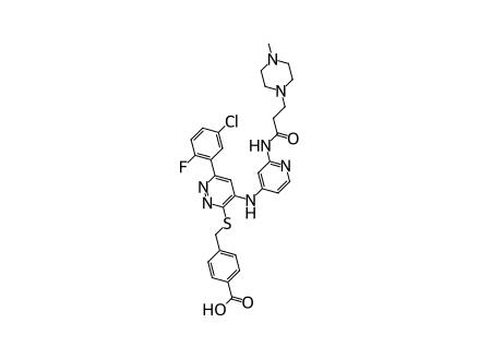 CN1CCN(CCC(=O)Nc2cc(Nc3cc(-c4cc(Cl)ccc4F)nnc3SCc3ccc(C(=O)O)cc3)ccn2)CC1